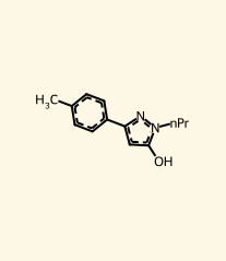 CCCn1nc(-c2ccc(C)cc2)cc1O